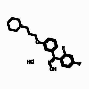 Cl.O/N=C(/c1cccc(OCCCN2CCCCC2)c1)c1ccc(F)cc1F